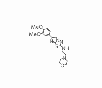 COc1ccc(-c2cn3nc(NCCN4CCOCC4)sc3n2)cc1OC